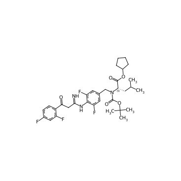 CC(C)C[C@@H](C(=O)OC1CCCC1)N(Cc1cc(F)c(NC(=N)CC(=O)c2ccc(F)cc2F)c(F)c1)C(=O)OC(C)(C)C